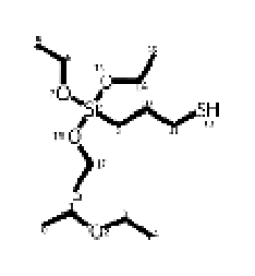 CCOCC.CCO[Si](CCCS)(OCC)OCC